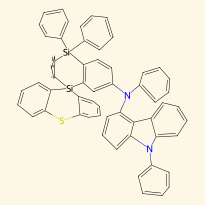 c1ccc(N(c2ccc3c(c2)[Si]2(c4ccccc4Sc4ccccc42)c2ccccc2[Si]3(c2ccccc2)c2ccccc2)c2cccc3c2c2ccccc2n3-c2ccccc2)cc1